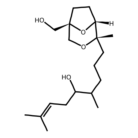 CC(C)=CCC(O)C(C)CCC[C@]1(C)OC[C@]2(CO)CC[C@H]1O2